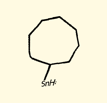 [SnH][CH]1CCCCCCC1